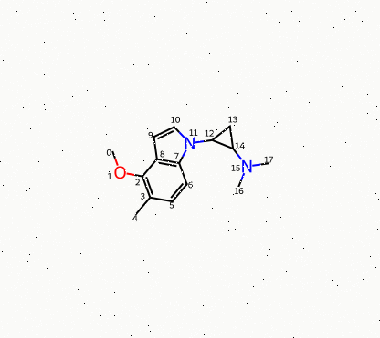 COc1c(C)ccc2c1ccn2C1CC1N(C)C